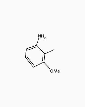 COc1cccc(N)c1C